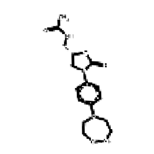 CC(=O)NC[C@H]1CN(c2ccc(N3CCNOCC3)cc2)C(=O)O1